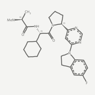 CN[C@@H](C)C(=O)N[C@H](C(=O)N1CCC[C@H]1c1cc(N2CCc3cc(F)ccc32)ncn1)C1CCCCC1